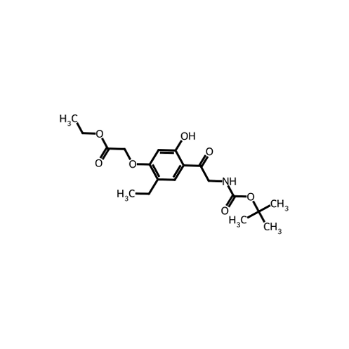 CCOC(=O)COc1cc(O)c(C(=O)CNC(=O)OC(C)(C)C)cc1CC